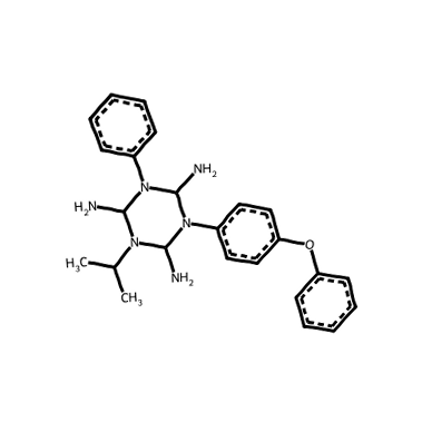 CC(C)N1C(N)N(c2ccccc2)C(N)N(c2ccc(Oc3ccccc3)cc2)C1N